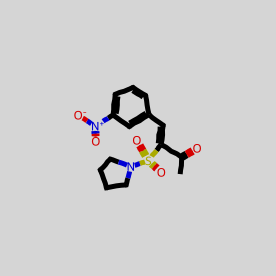 CC(=O)C(=Cc1cccc([N+](=O)[O-])c1)S(=O)(=O)N1CCCC1